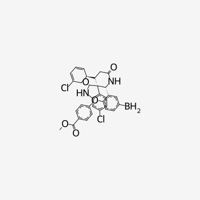 Bc1ccc(Oc2ccc(C(=O)OC)cc2)c([C@H]2NC(=O)CC([C@@H]3C=CC=C(Cl)C3)[C@]23C(=O)Nc2cc(Cl)ccc23)c1